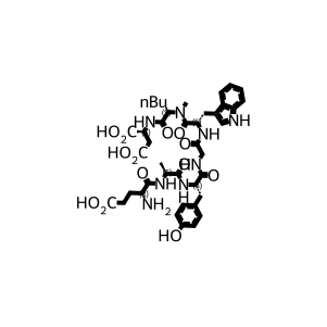 CCCC[C@@H](C(=O)N[C@@H](CC(=O)O)C(=O)O)N(C)C(=O)[C@H](Cc1c[nH]c2ccccc12)NC(=O)CNC(=O)[C@H](Cc1ccc(O)cc1)NC(=O)[C@H](C)NC(=O)[C@H](N)CCC(=O)O